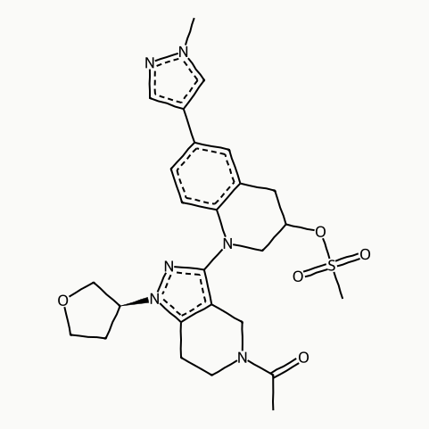 CC(=O)N1CCc2c(c(N3CC(OS(C)(=O)=O)Cc4cc(-c5cnn(C)c5)ccc43)nn2[C@H]2CCOC2)C1